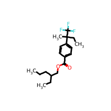 CCCC(CC)COC(=O)c1ccc(C(C)(CC)C(F)(F)F)cc1